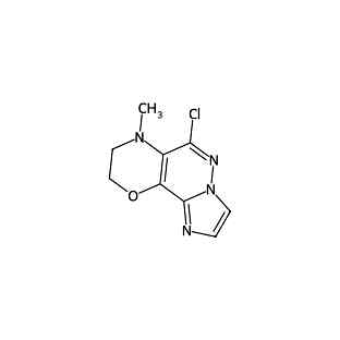 CN1CCOc2c1c(Cl)nn1ccnc21